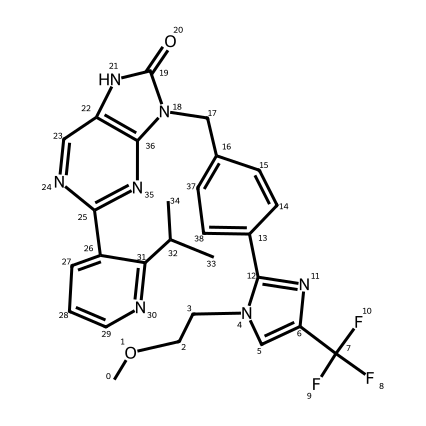 COCCn1cc(C(F)(F)F)nc1-c1ccc(Cn2c(=O)[nH]c3cnc(-c4cccnc4C(C)C)nc32)cc1